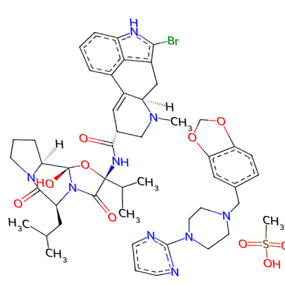 CC(C)C[C@H]1C(=O)N2CCC[C@H]2[C@]2(O)O[C@](NC(=O)[C@@H]3C=C4c5cccc6[nH]c(Br)c(c56)C[C@H]4N(C)C3)(C(C)C)C(=O)N12.CS(=O)(=O)O.c1cnc(N2CCN(Cc3ccc4c(c3)OCO4)CC2)nc1